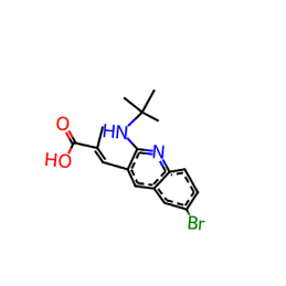 CC(=Cc1cc2cc(Br)ccc2nc1NC(C)(C)C)C(=O)O